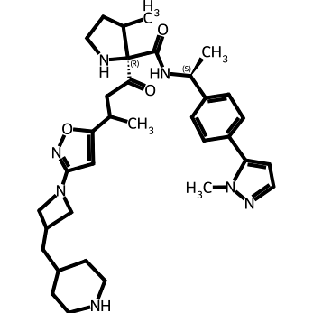 CC(CC(=O)[C@]1(C(=O)N[C@@H](C)c2ccc(-c3ccnn3C)cc2)NCCC1C)c1cc(N2CC(CC3CCNCC3)C2)no1